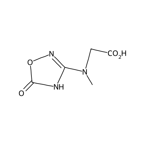 CN(CC(=O)O)c1noc(=O)[nH]1